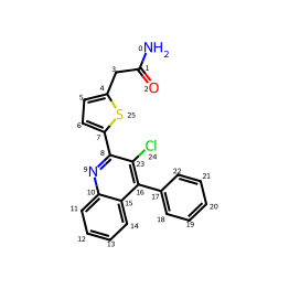 NC(=O)Cc1ccc(-c2nc3ccccc3c(-c3ccccc3)c2Cl)s1